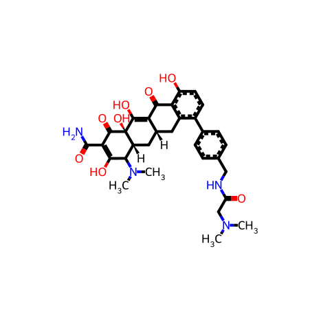 CN(C)CC(=O)NCc1ccc(-c2ccc(O)c3c2C[C@@H]2C[C@@H]4C(N(C)C)C(O)=C(C(N)=O)C(=O)[C@]4(O)C(O)=C2C3=O)cc1